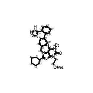 CCn1c(=O)c2c(nc(C3CCCCC3)n2Cc2ccc(-c3ccccc3-c3nnn[nH]3)cc2)n(CCOC)c1=O